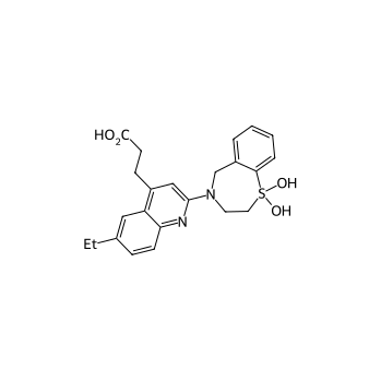 CCc1ccc2nc(N3CCS(O)(O)c4ccccc4C3)cc(CCC(=O)O)c2c1